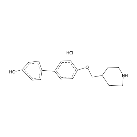 Cl.Oc1ccc(-c2ccc(OCC3CCNCC3)cc2)cc1